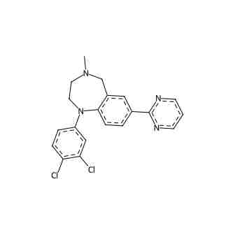 CN1CCN(c2ccc(Cl)c(Cl)c2)c2ccc(-c3ncccn3)cc2C1